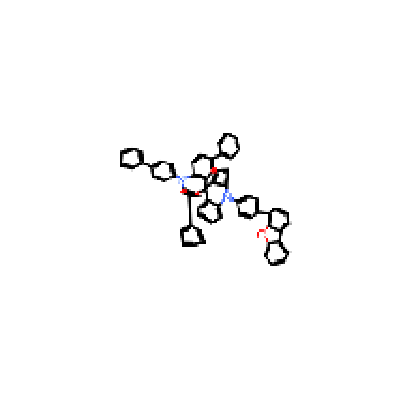 c1ccc(-c2ccc(N3c4ccc(-c5ccccc5)cc4C4(c5ccccc5N(c5ccc(-c6cccc7c6oc6ccccc67)cc5)c5ccccc54)c4cc(-c5ccccc5)ccc43)cc2)cc1